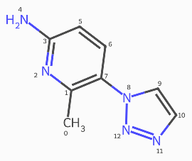 Cc1nc(N)ccc1-n1ccnn1